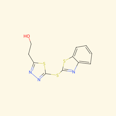 OCCc1nnc(Sc2nc3ccccc3s2)s1